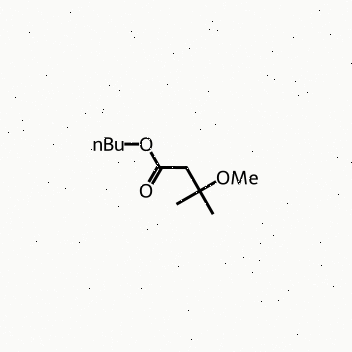 CCCCOC(=O)CC(C)(C)OC